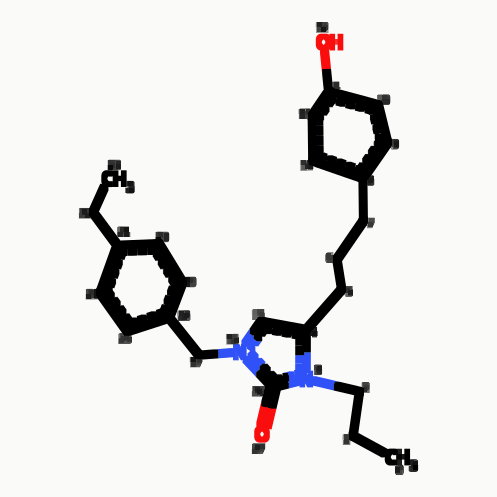 CCCn1c(CCCc2ccc(O)cc2)cn(Cc2ccc(CC)cc2)c1=O